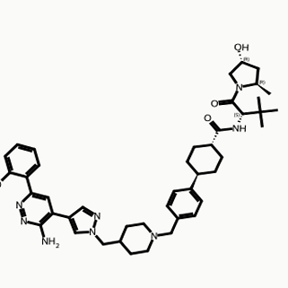 C[C@@H]1C[C@@H](O)CN1C(=O)[C@@H](NC(=O)[C@H]1CC[C@H](c2ccc(CN3CCC(Cn4cc(-c5cc(-c6ccccc6O)nnc5N)cn4)CC3)cc2)CC1)C(C)(C)C